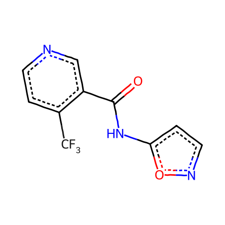 O=C(Nc1ccno1)c1cnccc1C(F)(F)F